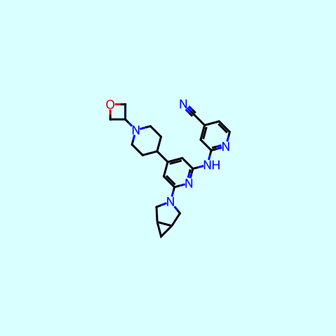 N#Cc1ccnc(Nc2cc(C3CCN(C4COC4)CC3)cc(N3CC4CC4C3)n2)c1